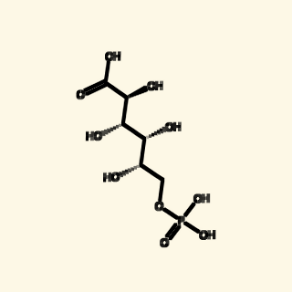 O=C(O)[C@@H](O)[C@@H](O)[C@H](O)[C@@H](O)COP(=O)(O)O